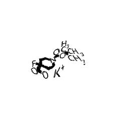 CC(C)(C)OC(=O)N1CCC(F)(C(=O)[O-])CC1.[K+]